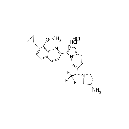 COc1c(C2CC2)ccc2ccc(-c3nnc4ccc([C@@H](N5CCC(N)C5)C(F)(F)F)cn34)nc12.Cl.Cl